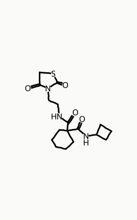 O=C1CSC(=O)N1CCNC(=O)C1(C(=O)NC2CCC2)CCCCC1